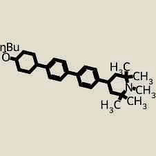 CCCCOC1CCC(c2ccc(-c3ccc(C4CC(C)(C)N(C)C(C)(C)C4)cc3)cc2)CC1